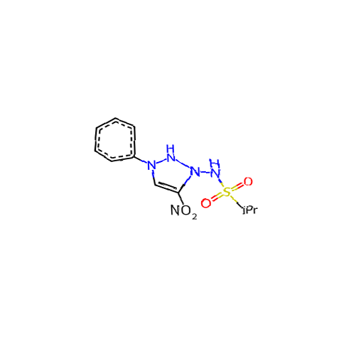 CC(C)S(=O)(=O)NN1NN(c2ccccc2)C=C1[N+](=O)[O-]